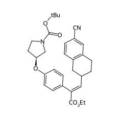 CCOC(=O)C(=CC1CCc2cc(C#N)ccc2C1)c1ccc(O[C@H]2CCN(C(=O)OC(C)(C)C)C2)cc1